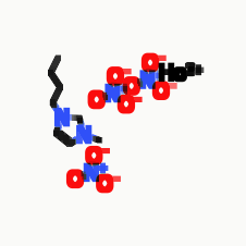 CCCCN1C=CN(C)C1.O=[N+]([O-])[O-].O=[N+]([O-])[O-].O=[N+]([O-])[O-].[Ho+3]